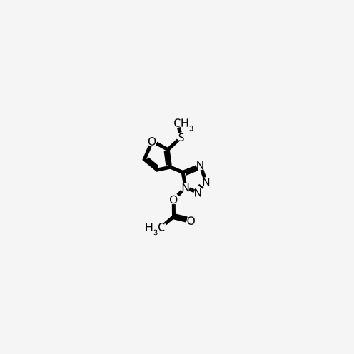 CSc1occc1-c1nnnn1OC(C)=O